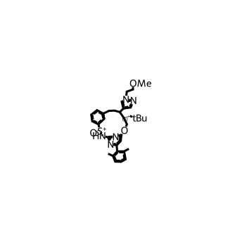 COCCn1cc(C2CCc3cccc(c3)[S+]([O-])Nc3nc(cc(-c4c(C)cccc4C)n3)OC[C@H]2CC(C)(C)C)cn1